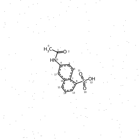 CC(=O)Nc1ccc2c(S(=O)(=O)O)cccc2c1